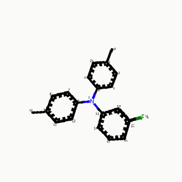 Cc1ccc(N(c2ccc(C)cc2)c2cccc(F)c2)cc1